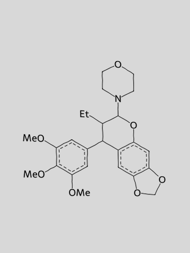 CCC1C(c2cc(OC)c(OC)c(OC)c2)c2cc3c(cc2OC1N1CCOCC1)OCO3